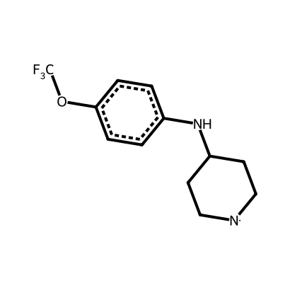 FC(F)(F)Oc1ccc(NC2CC[N]CC2)cc1